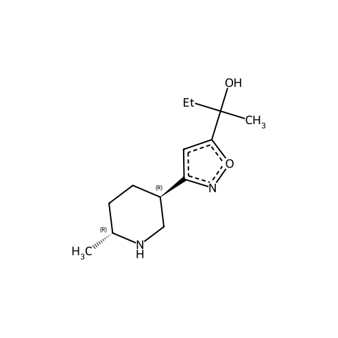 CCC(C)(O)c1cc([C@@H]2CC[C@@H](C)NC2)no1